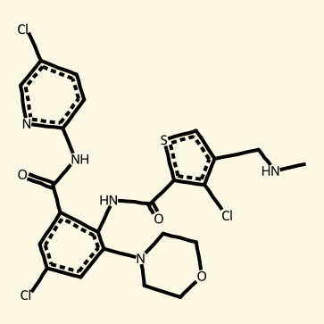 CNCc1csc(C(=O)Nc2c(C(=O)Nc3ccc(Cl)cn3)cc(Cl)cc2N2CCOCC2)c1Cl